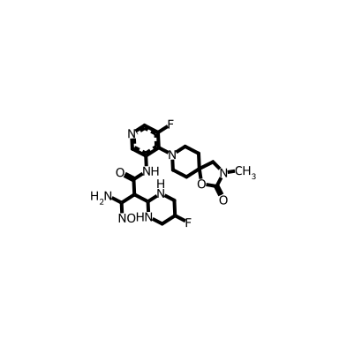 CN1CC2(CCN(c3c(F)cncc3NC(=O)C(C(N)N=O)C3NCC(F)CN3)CC2)OC1=O